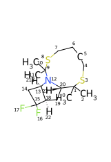 CC1(C)SCCCCSC(C)(C)N2[C@@H]3CC(F)(F)[C@@H]3C[C@H]21